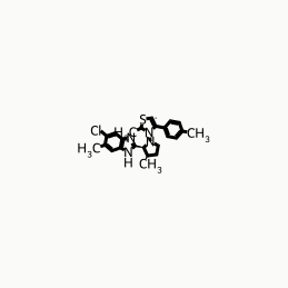 Cc1ccc(C2=[C]SC(C)N2N2CC[C@H](C)[C@H]2c2nc3cc(Cl)c(C)cc3[nH]2)cc1